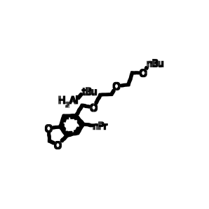 CCCCOCCOCCOCc1cc2c(cc1CCC)OCO2.C[C](C)(C)[AlH2]